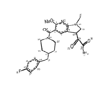 COc1nc2c(cc1C(=O)N1CCC(Cc3ccc(F)cc3)CC1)C(C(=O)C(N)=O)CN2C